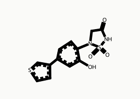 O=C1CN(c2ccc(-c3ccsc3)cc2O)S(=O)(=O)N1